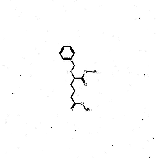 CCCCOC(=O)CCCC(NCc1ccccc1)C(=O)OCCCC